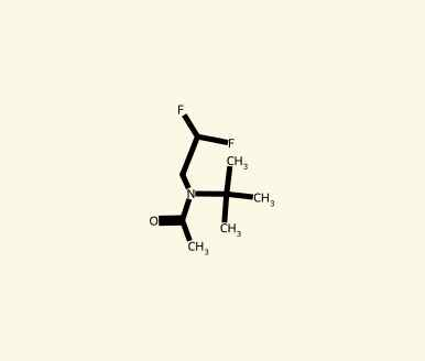 CC(=O)N(CC(F)F)C(C)(C)C